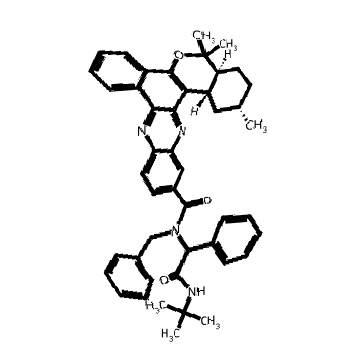 C[C@H]1CC[C@H]2[C@H](C1)c1c(c3ccccc3c3nc4ccc(C(=O)N(Cc5ccccc5)C(C(=O)NC(C)(C)C)c5ccccc5)cc4nc13)OC2(C)C